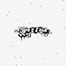 CC[C@@H](C(=O)[C@@H](C)[C@@H](O)[C@H](C)[C@@H]1O[C@@H]([C@@H](CC)C(=O)NC)CC[C@@H]1C)[C@H]1O[C@]2(C=C[C@@H](O)[C@]3(CC[C@@](C)([C@H]4CC[C@](O)(CC)[C@H](C)O4)O3)O2)[C@H](C)C[C@@H]1C